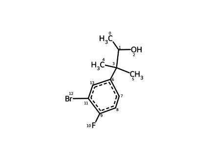 CC(O)C(C)(C)c1ccc(F)c(Br)c1